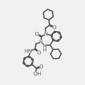 O=C(CN1NC(C2CCCCC2)c2ccccc2N(CC(=O)C2CCCCC2)C1=O)Nc1cccc(C(=O)O)c1